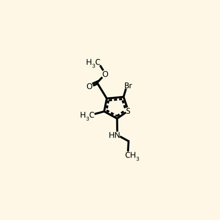 CCNc1sc(Br)c(C(=O)OC)c1C